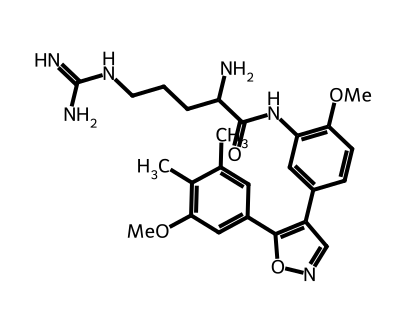 COc1ccc(-c2cnoc2-c2cc(C)c(C)c(OC)c2)cc1NC(=O)C(N)CCCNC(=N)N